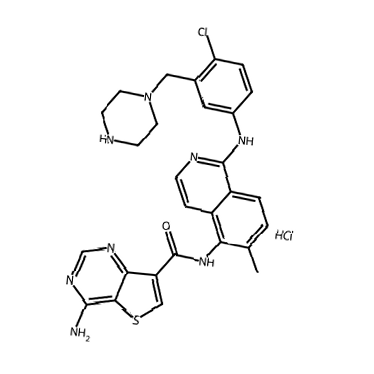 Cc1ccc2c(Nc3ccc(Cl)c(CN4CCNCC4)c3)nccc2c1NC(=O)c1csc2c(N)ncnc12.Cl